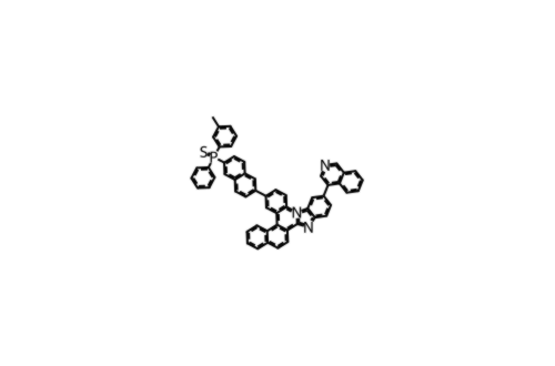 Cc1cccc(P(=S)(c2ccccc2)c2ccc3cc(-c4ccc5c(c4)c4c6ccccc6ccc4c4nc6ccc(-c7cncc8ccccc78)cc6n54)ccc3c2)c1